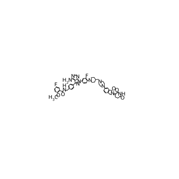 COc1ccc(F)cc1C(=O)NCc1ccc(-c2nn(-c3ccc(N4CCC(CN5CCN(c6ccc7c(c6)C(=O)N([C@H]6CCC(=O)NC6=O)C7)CC5)CC4)c(F)c3)c3ncnc(N)c23)cc1